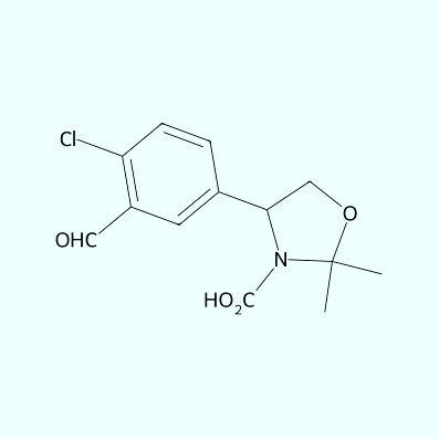 CC1(C)OCC(c2ccc(Cl)c(C=O)c2)N1C(=O)O